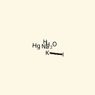 O.[Hg].[K][I].[NaH]